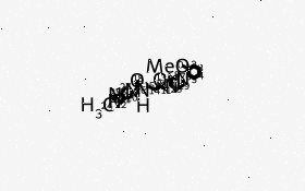 COc1ccccc1N1CCN(C[C@H](O)CCNC(=O)N2Cc3cn(C)nc3C2)CC1